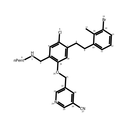 CCCCCNCc1cc(Cl)c(CCc2cccc(Br)c2C)cc1OCc1cncc(C#N)c1